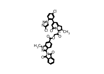 C[C@H]1Cc2cc(-c3cc(Cl)ccc3-n3cc(Cl)nn3)cc(=O)n2[C@@H]1C(=O)COC(=O)c1ccc2c(N3C(=O)c4ccccc4C3=O)nn(C)c2c1